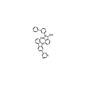 O=C1c2c(cccc2-n2c3ccccc3c3ccc(-c4cncnc4)cc32)C(O)N1c1cccc(-c2ccccc2)c1